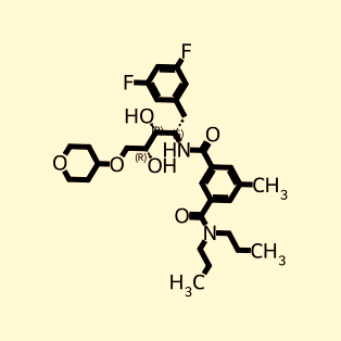 CCCN(CCC)C(=O)c1cc(C)cc(C(=O)N[C@@H](Cc2cc(F)cc(F)c2)[C@@H](O)[C@H](O)COC2CCOCC2)c1